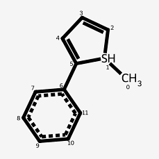 C[SH]1C=C[C]=C1c1ccccc1